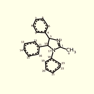 CC1=NC(c2ccccc2)C(c2ccccc2)N1c1ccccc1